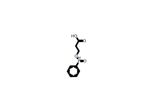 O=C(O)CCO[PH](=O)c1ccccc1